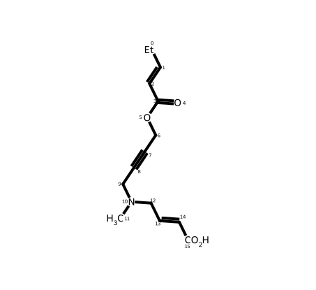 CC/C=C/C(=O)OCC#CCN(C)C/C=C/C(=O)O